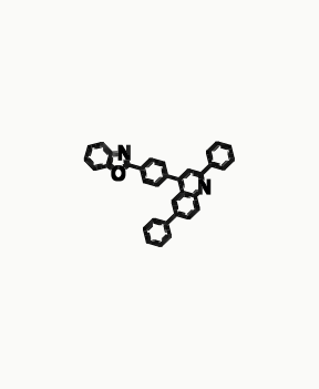 c1ccc(-c2ccc3nc(-c4ccccc4)cc(-c4ccc(-c5nc6ccccc6o5)cc4)c3c2)cc1